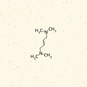 CN(C)CC=CCN(C)C